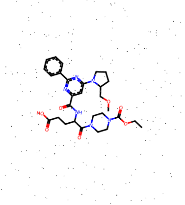 CCOC(=O)N1CCN(C(=O)C(CCC(=O)O)NC(=O)c2cc(N3CCCC3COC)nc(-c3ccccc3)n2)CC1